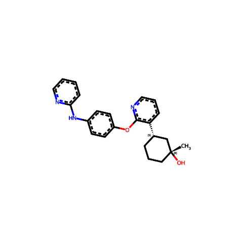 C[C@@]1(O)CCC[C@H](c2cccnc2Oc2ccc(Nc3ccccn3)cc2)C1